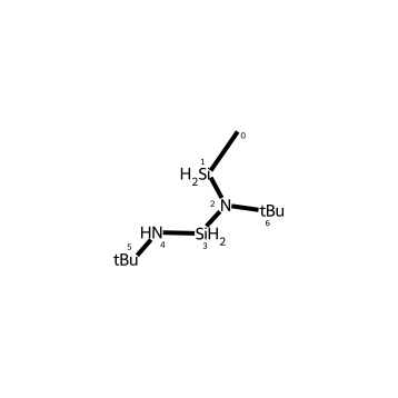 C[SiH2]N([SiH2]NC(C)(C)C)C(C)(C)C